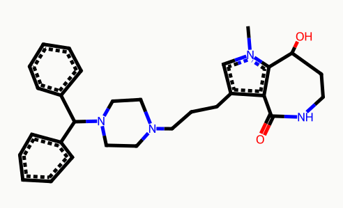 Cn1cc(CCCN2CCN(C(c3ccccc3)c3ccccc3)CC2)c2c1C(O)CCNC2=O